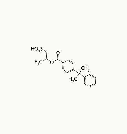 CC(C)(c1ccccc1)c1ccc(C(=O)OC(CS(=O)(=O)O)C(F)(F)F)cc1